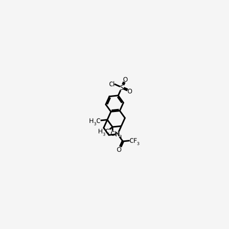 CC12CCN(C(=O)C(F)(F)F)C(Cc3cc(S(=O)(=O)Cl)ccc31)C2(C)C